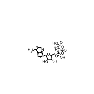 Nc1ncnc2c1ncn2C1OC(COP(=O)(O)OP(=O)(O)OP(=O)(O)O)C(S)C1O